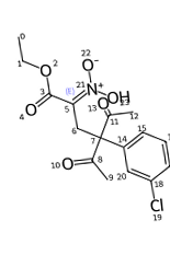 CCOC(=O)/C(CC(C(C)=O)(C(C)=O)c1cccc(Cl)c1)=[N+](\[O-])O